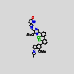 COc1cc(-c2cccc(-c3cccc(-c4cnc(CN5CC6(CCC(=O)N6)C5)c(OC)n4)c3Cl)c2Cl)cc2c1[C@H](N1CC(C)C1)CC2